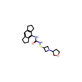 O=C(NSC1CN(C2CCOC2)C1)Nc1c2c(cc3c1CCC3)CCC2